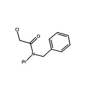 CC(C)N(Cc1ccccc1)C(=O)CCl